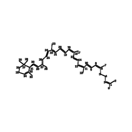 CC(C)=CCCC(C)=CC=CC(C)=CC=CC(C)=CC=CC=C(C)C=CC=C(C)C=C[C@H]1C(C)=CCCC1(C)C